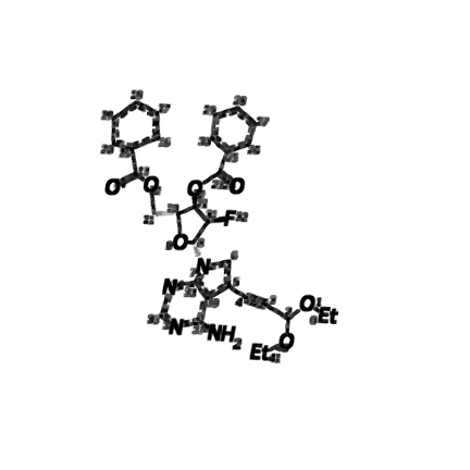 CCOC(C#Cc1cn([C@@H]2O[C@H](COC(=O)c3ccccc3)[C@@H](OC(=O)c3ccccc3)[C@H]2F)c2ncnc(N)c12)OCC